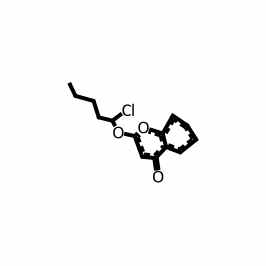 CCCCC(Cl)Oc1cc(=O)c2ccccc2o1